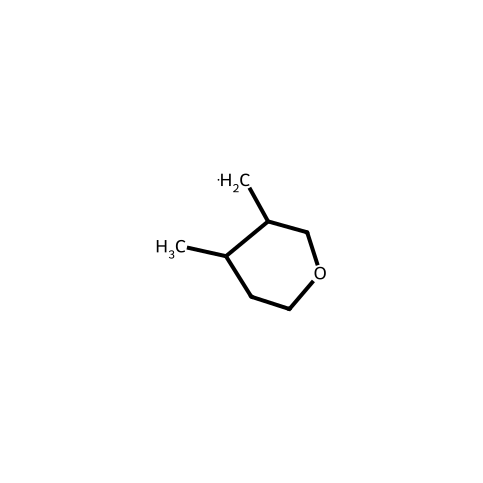 [CH2]C1COCCC1C